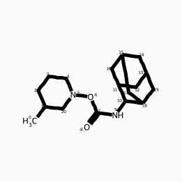 CC1CCCN(OC(=O)NC2C3CC4CC(C3)CC2C4)C1